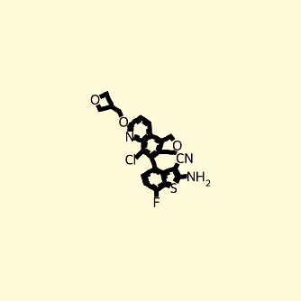 N#Cc1c(N)sc2c(F)ccc(-c3c4c(c5ccc(OCC6COC6)nc5c3Cl)COC4)c12